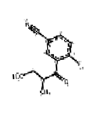 CCC(C)C(=O)c1cc(C#N)ccc1F